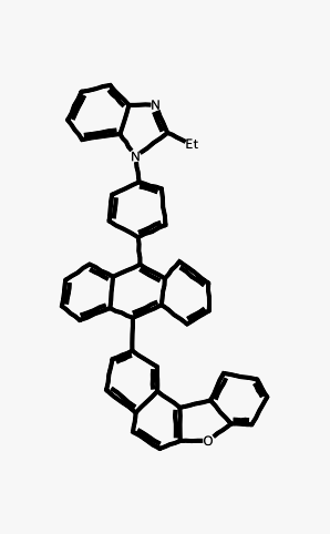 CCc1nc2ccccc2n1-c1ccc(-c2c3ccccc3c(-c3ccc4ccc5oc6ccccc6c5c4c3)c3ccccc23)cc1